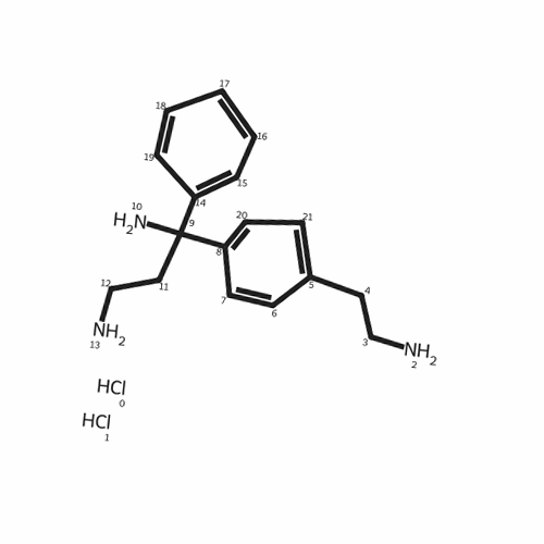 Cl.Cl.NCCc1ccc(C(N)(CCN)c2ccccc2)cc1